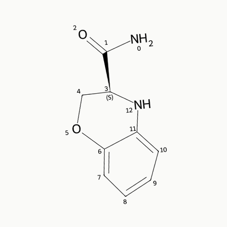 NC(=O)[C@@H]1COc2ccccc2N1